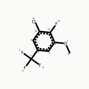 COc1cc(C(F)(F)F)cc(Cl)c1F